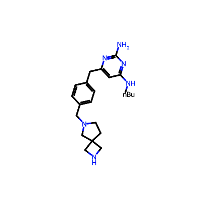 CCCCNc1cc(Cc2ccc(CN3CCC4(CNC4)C3)cc2)nc(N)n1